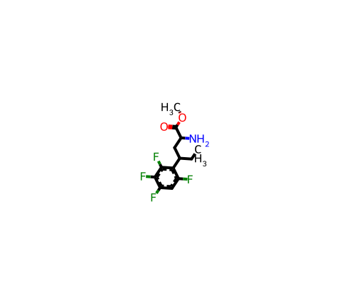 CCC(CC(N)C(=O)OC)c1c(F)cc(F)c(F)c1F